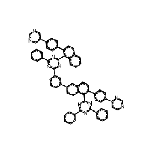 c1ccc(-c2nc(-c3cccc(-c4ccc5c(-c6nc(-c7ccccc7)nc(-c7ccccc7)n6)c(-c6ccc(-c7ccncn7)cc6)ccc5c4)c3)nc(-c3c(-c4ccc(-c5cncnc5)cc4)ccc4ccccc34)n2)cc1